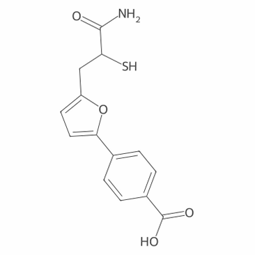 NC(=O)C(S)Cc1ccc(-c2ccc(C(=O)O)cc2)o1